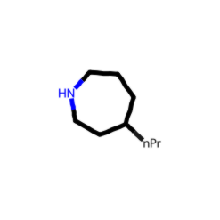 CCCC1CCCNCC1